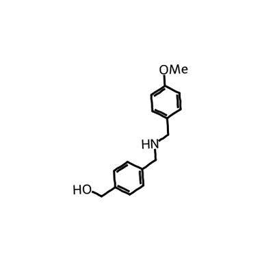 COc1ccc(CNCc2ccc(CO)cc2)cc1